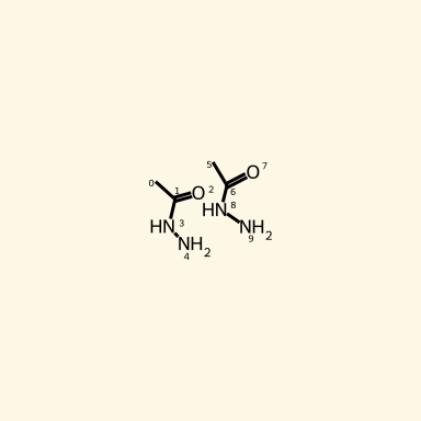 CC(=O)NN.CC(=O)NN